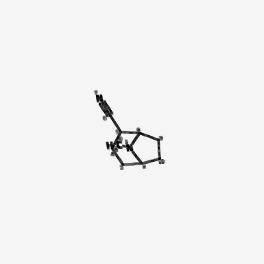 CN1C2CCC(C#N)C1CC2